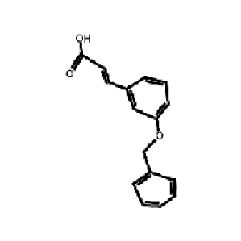 O=C(O)C=Cc1cccc(OCc2ccccc2)c1